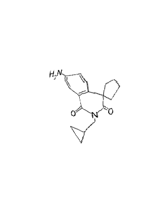 Nc1ccc2c(c1)C(=O)N(CC1CC1)C(=O)C21CCCC1